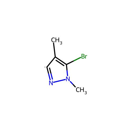 Cc1[c]nn(C)c1Br